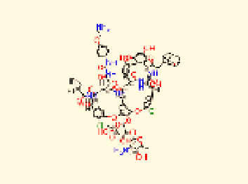 CC[C@H](CC(C)C)C(=O)N[C@H]1C(=O)C[C@@H](CC(=O)NC(=O)Nc2ccc(OCCN)cc2)C(=O)N[C@H]2C(=O)C[C@H]3C(=O)N[C@H](C(=O)N[C@H](C(=O)CC4C5CC6CC(C5)CC4C6)c4cc(O)cc(O)c4-c4cc3ccc4O)[C@H](O)c3ccc(c(Cl)c3)Oc3cc2cc(c3O[C@@H]2O[C@H](CO)[C@@H](O)[C@H](O)[C@H]2O[C@H]2C[C@](C)(N)[C@H](O)[C@H](C)O2)Oc2ccc(cc2Cl)[C@H]1O